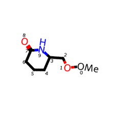 COOCC1CCCC(=O)N1